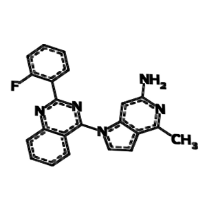 Cc1nc(N)cc2c1ccn2-c1nc(-c2ccccc2F)nc2ccccc12